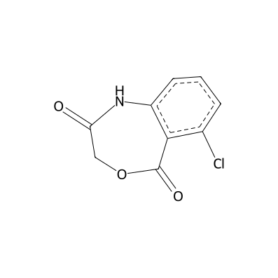 O=C1COC(=O)c2c(Cl)cccc2N1